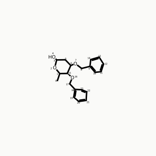 CC1OC(O)CC(OCc2ccccc2)[C@H]1OCc1ccccc1